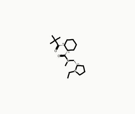 CCN1CCC[C@H]1CN(C)C(=O)[C@H]1CCCC[C@H]1C(=O)C(C)(C)C